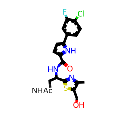 CC(=O)NCC(NC(=O)c1ccc(-c2ccc(Cl)c(F)c2)[nH]1)c1nc(C)c(CO)s1